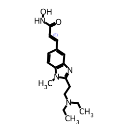 CCN(CC)CCc1nc2cc(/C=C/C(=O)NO)ccc2n1C